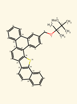 COC(C)(C)C(C)(C)OCc1ccc2c(c1)c1ccccc1c1ccc3c4ccc5ccccc5c4sc3c12